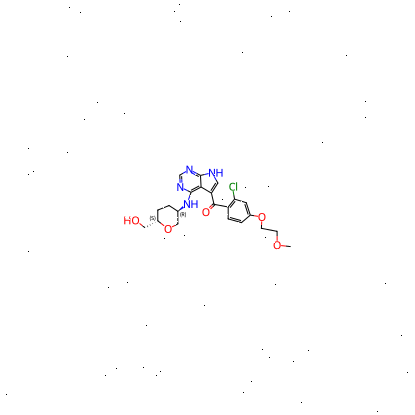 COCCOc1ccc(C(=O)c2c[nH]c3ncnc(N[C@@H]4CC[C@@H](CO)OC4)c23)c(Cl)c1